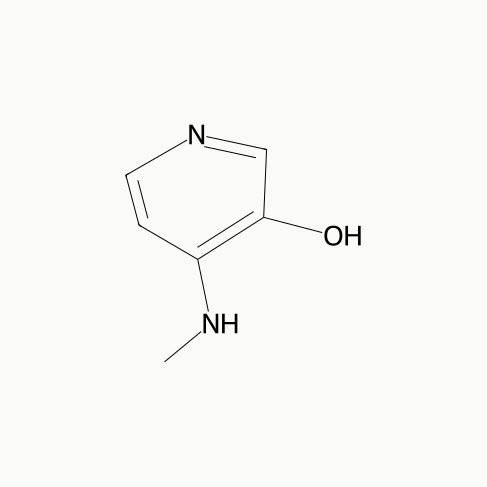 CNc1ccncc1O